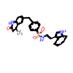 O=c1cc(C(F)(F)F)c2cc(Cc3ccc(S(=O)(=O)NCCc4c[nH]c5ccccc45)cc3)ccc2[nH]1